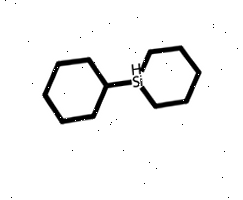 C1CCC([SiH]2CCCCC2)CC1